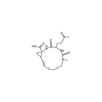 CC(=O)CCC1NC(=O)N(C)CCCC/C=C/C2CC2(C(=O)O)NC1=O